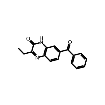 CCc1nc2ccc(C(=O)c3ccccc3)cc2[nH]c1=O